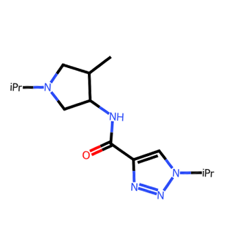 CC1CN(C(C)C)CC1NC(=O)c1cn(C(C)C)nn1